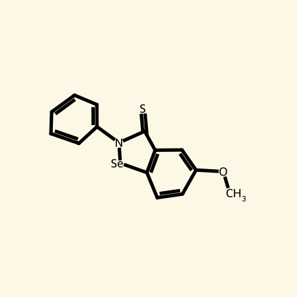 COc1ccc2[se]n(-c3ccccc3)c(=S)c2c1